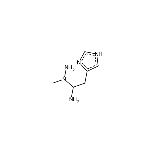 CN(N)C(N)Cc1c[nH]cn1